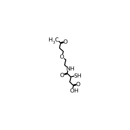 CC(=O)CCOCCNC(=O)C(S)CC(=O)O